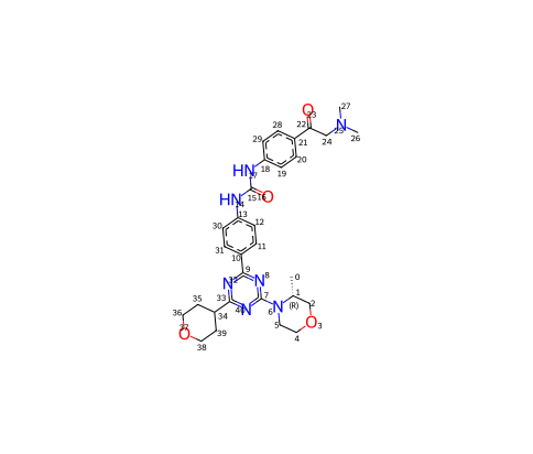 C[C@@H]1COCCN1c1nc(-c2ccc(NC(=O)Nc3ccc(C(=O)CN(C)C)cc3)cc2)nc(C2CCOCC2)n1